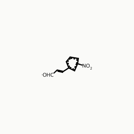 O=[C]/C=C/c1cccc([N+](=O)[O-])c1